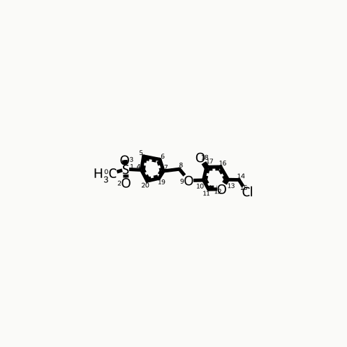 CS(=O)(=O)c1ccc(COc2coc(CCl)cc2=O)cc1